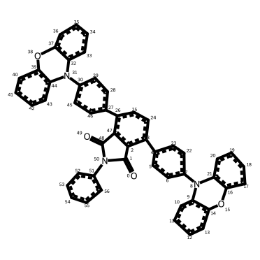 O=C1c2c(-c3ccc(N4c5ccccc5Oc5ccccc54)cc3)ccc(-c3ccc(N4c5ccccc5Oc5ccccc54)cc3)c2C(=O)N1c1ccccc1